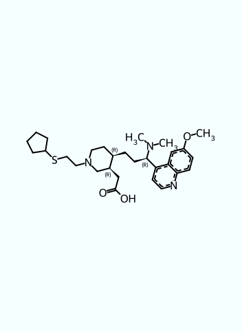 COc1ccc2nccc([C@@H](CC[C@@H]3CCN(CCSC4CCCC4)C[C@@H]3CC(=O)O)N(C)C)c2c1